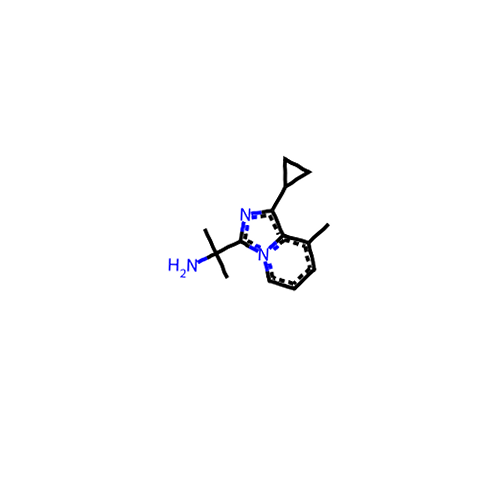 Cc1cccn2c(C(C)(C)N)nc(C3CC3)c12